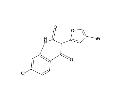 CC(C)c1coc(C2C(=O)Nc3cc(Cl)ccc3C2=O)c1